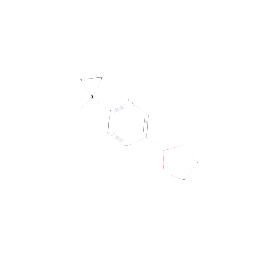 CC1(c2ccc(C3OCCO3)cn2)CC1